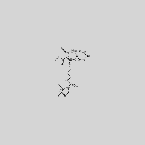 CCc1nn(CCCOC(=O)c2ccc(C)n2C)c2c1C(=O)NCC1(CCOCC1)C2